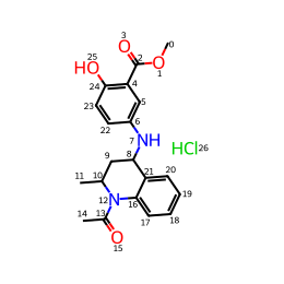 COC(=O)c1cc(NC2CC(C)N(C(C)=O)c3ccccc32)ccc1O.Cl